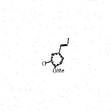 CC=Cc1ccc(OC)c(Cl)c1